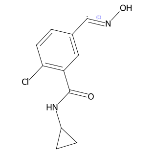 O=C(NC1CC1)c1cc(/[C]=N/O)ccc1Cl